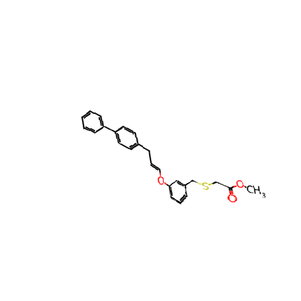 COC(=O)CSCc1cccc(OC=CCc2ccc(-c3ccccc3)cc2)c1